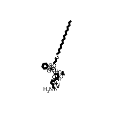 CCCCCCCCCCCCCCCCSCCCOP(=O)(OC[C@H]1O[C@@](C)(c2ccc3c(N)ncnn23)[C@@H]2OC(C)(C)O[C@@H]21)Oc1ccccc1Cl